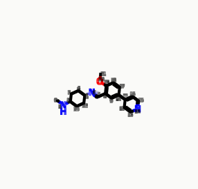 CN[C@H]1CC[C@H](/N=C/c2cc(-c3ccncc3)ccc2OC)CC1